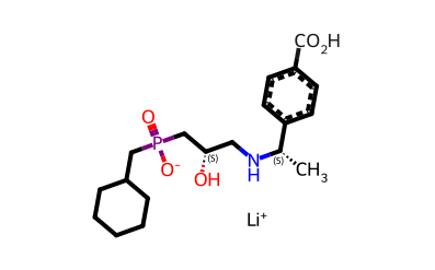 C[C@H](NC[C@H](O)CP(=O)([O-])CC1CCCCC1)c1ccc(C(=O)O)cc1.[Li+]